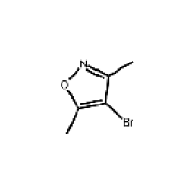 Cc1noc(C)c1Br